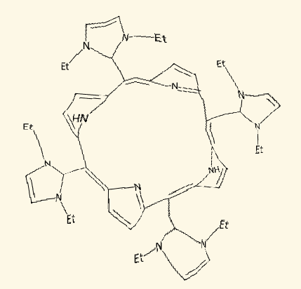 CCN1C=CN(CC)C1c1c2nc(c(C3N(CC)C=CN3CC)c3ccc([nH]3)c(C3N(CC)C=CN3CC)c3nc(c(C4N(CC)C=CN4CC)c4ccc1[nH]4)C=C3)C=C2